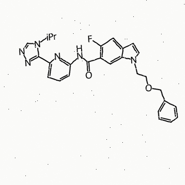 CC(C)n1cnnc1-c1cccc(NC(=O)c2cc3c(ccn3CCOCc3ccccc3)cc2F)n1